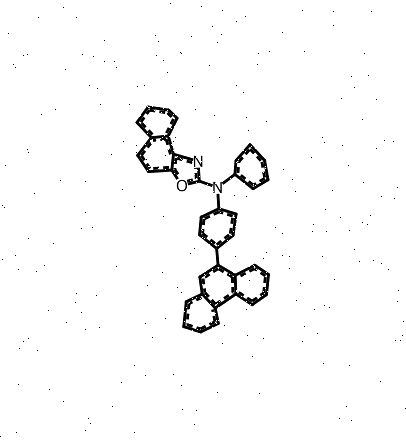 c1ccc(N(c2ccc(-c3cc4ccccc4c4ccccc34)cc2)c2nc3c(ccc4ccccc43)o2)cc1